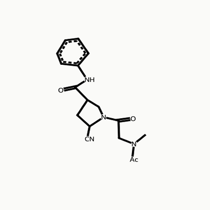 CC(=O)N(C)CC(=O)N1CC(C(=O)Nc2ccccc2)CC1C#N